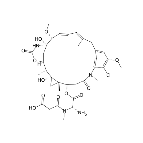 COc1cc2cc(c1Cl)N(C)C(=O)C[C@H](OC(=O)[C@H](N)N(C)C(=O)CC(=O)O)[C@]1(C)C[C@@]1(O)[C@H](C)[C@@H]1C[C@@](O)(NC(=O)O1)[C@H](OC)/C=C/C=C(\C)C2